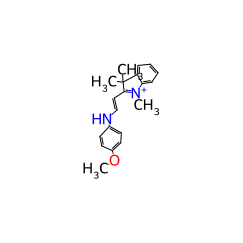 COc1ccc(NC=CC2=[N+](C)c3ccccc3C2(C)C)cc1